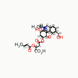 C/C=C/C(=O)O[C@@H](CC(=O)OC1=CC[C@@]2(O)[C@H]3Cc4ccc(CO)c5c4C2(CCN3C)C1O5)C(=O)O